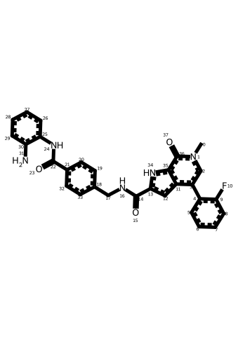 Cn1cc(-c2ccccc2F)c2cc(C(=O)NCc3ccc(C(=O)Nc4ccccc4N)cc3)[nH]c2c1=O